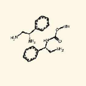 CC(C)(C)OC(=O)N[C@@H](CN)c1ccccc1.NC[C@@H](N)c1ccccc1